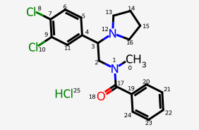 CN(CC(c1ccc(Cl)c(Cl)c1)N1CCCC1)C(=O)c1ccccc1.Cl